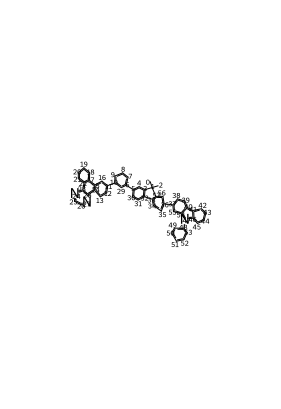 CC1(C)c2cc(-c3cccc(-c4ccc5c(c4)c4ccccc4c4nccnc54)c3)ccc2-c2ccc(-c3ccc4c5ccccc5n(-c5ccccc5)c4c3)cc21